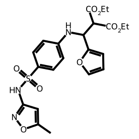 CCOC(=O)C(C(=O)OCC)C(Nc1ccc(S(=O)(=O)Nc2cc(C)on2)cc1)c1ccco1